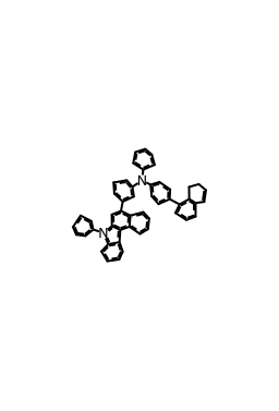 C1=Cc2cccc(-c3ccc(N(c4ccccc4)c4cccc(-c5cc6c(c7ccccc57)c5ccccc5n6-c5ccccc5)c4)cc3)c2CC1